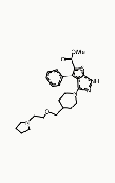 COC(=O)c1sc2[nH]nc(N3CCC(COCCN4CCCC4)CC3)c2c1-c1ccccc1